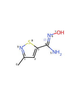 Cc1cc(/C(N)=N/O)sn1